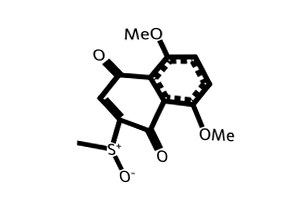 COc1ccc(OC)c2c1C(=O)C=C([S+](C)[O-])C2=O